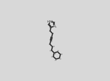 C(#CCCc1c[nH]cn1)CCCC1CCCCC1